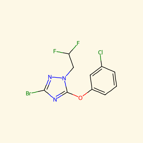 FC(F)Cn1nc(Br)nc1Oc1cccc(Cl)c1